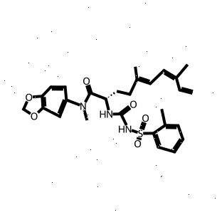 C=C/C(C)=C\C=C(/C)CC[C@H](NC(=O)NS(=O)(=O)c1ccccc1C)C(=O)N(C)c1ccc2c(c1)OCO2